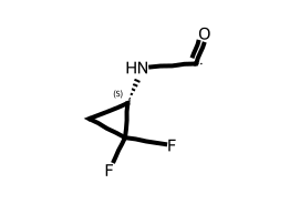 O=[C]N[C@H]1CC1(F)F